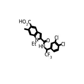 CCn1c(C(=O)NC(c2ccc(Cl)c(Cl)c2)C(F)(F)F)cc2cc(C(=O)O)c(C)cc21